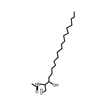 CCCCCCCCCCCCCCCCCC(O)C(CO)NC(C)=O